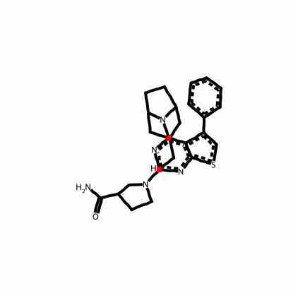 NC(=O)C1CCN(c2nc(N3C4CCC3CC(CO)C4)c3c(-c4ccccc4)csc3n2)C1